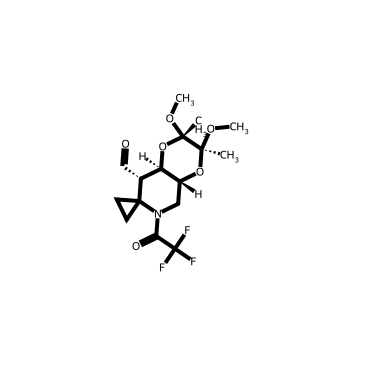 CO[C@@]1(C)O[C@@H]2[C@@H](C=O)C3(CC3)N(C(=O)C(F)(F)F)C[C@H]2O[C@]1(C)OC